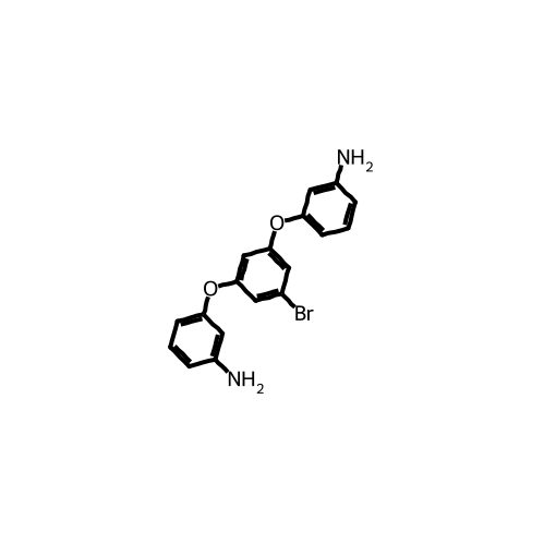 Nc1cccc(Oc2cc(Br)cc(Oc3cccc(N)c3)c2)c1